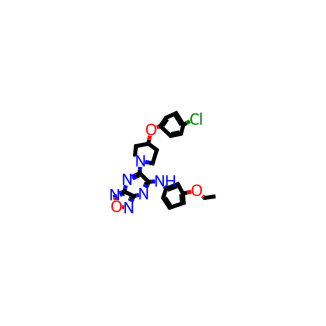 CCOc1cccc(Nc2nc3nonc3nc2N2CCC(Oc3ccc(Cl)cc3)CC2)c1